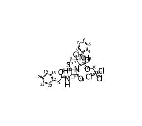 CC1(Nc2ccccc2)CS[C@@H]2C(NC(=O)Cc3ccccc3)C(=O)N2C1C(=O)OCC(Cl)(Cl)Cl